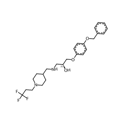 O[C@@H](CNCC1CCN(CCC(F)(F)F)CC1)COc1ccc(OCc2ccccc2)cc1